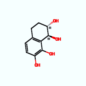 Oc1ccc2c(c1O)[C@H](O)[C@@H](O)CC2